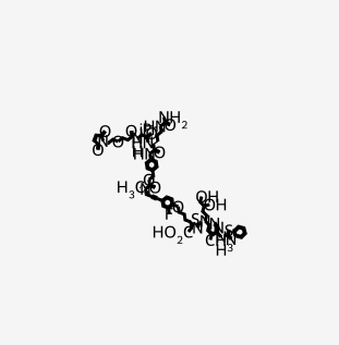 Cc1cc(N(CCC(O)CO)c2nc(C(=O)O)c(CCCOc3ccc(C#CCN(C)C(=O)OCc4ccc(NC(=O)[C@H](CCCNC(N)=O)NC(=O)[C@@H](NC(=O)CCOCCN5C(=O)C=CC5=O)C(C)C)cc4)cc3F)s2)nnc1Nc1nc2ccccc2s1